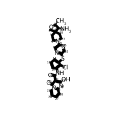 C[C@@H]1OCC2(CCN(c3cnc(Sc4cccc(NC(=O)c5c(O)nc6ccccn6c5=O)c4Cl)cn3)CC2)[C@@H]1N